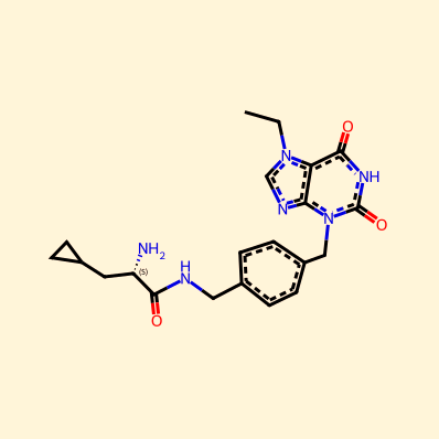 CCn1cnc2c1c(=O)[nH]c(=O)n2Cc1ccc(CNC(=O)[C@@H](N)CC2CC2)cc1